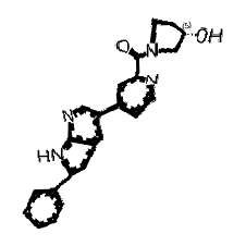 O=C(c1cc(-c2cnc3[nH]c(-c4ccccc4)cc3c2)ccn1)N1CC[C@H](O)C1